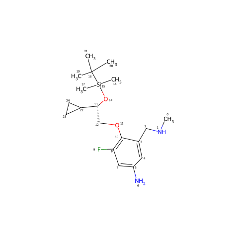 CNCc1cc(N)cc(F)c1OC[C@@H](O[Si](C)(C)C(C)(C)C)C1CC1